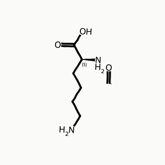 NCCCC[C@H](N)C(=O)O.[CH]=O